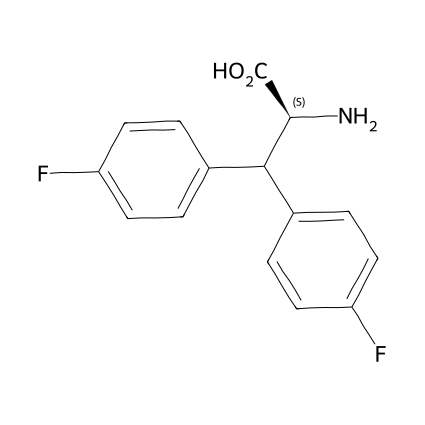 N[C@H](C(=O)O)C(c1ccc(F)cc1)c1ccc(F)cc1